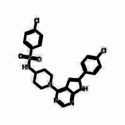 O=S(=O)(NC1CCN(c2ncnc3[nH]c(-c4ccc(Cl)cc4)cc23)CC1)c1ccc(Cl)cc1